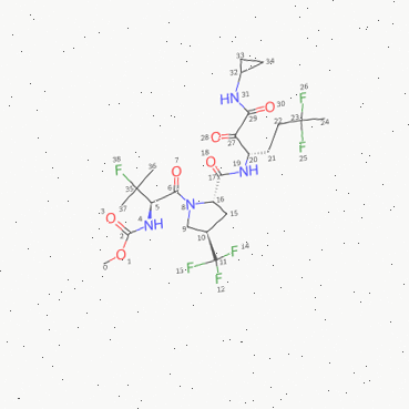 COC(=O)N[C@H](C(=O)N1C[C@H](C(F)(F)F)C[C@H]1C(=O)N[C@@H](CCC(C)(F)F)C(=O)C(=O)NC1CC1)C(C)(C)F